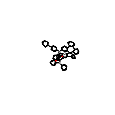 c1ccc(-c2ccc(N(c3ccc4c(c3)C3(c5ccccc5-c5ccccc5-4)c4ccccc4-c4cc5c(cc43)sc3ccccc35)c3ccc4c(c3)c3ccccc3n4-c3ccccc3)cc2)cc1